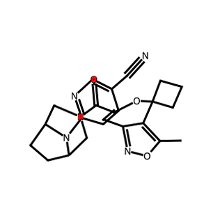 Cc1noc(C)c1C1(OCC(=O)N2CC3CCC(C2)N3c2ccc(C#N)cn2)CCC1